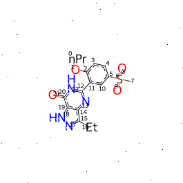 CCCOc1ccc(S(C)(=O)=O)cc1-c1nc2c(CC)n[nH]c2c(=O)[nH]1